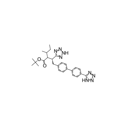 CCC(C)C(C(=O)OC(C)(C)C)[C@H](Cc1ccc(-c2ccc(-c3nnn[nH]3)cc2)cc1)c1nn[nH]n1